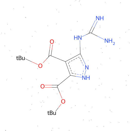 CC(C)(C)OC(=O)c1[nH]nc(NC(=N)N)c1C(=O)OC(C)(C)C